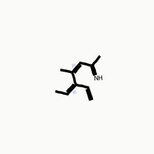 C=CC(=C/C)/C(C)=C\C(C)=N